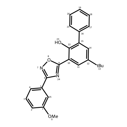 COc1cccc(-c2noc(-c3cc(C(C)(C)C)cc(-c4ccccc4)c3O)n2)c1